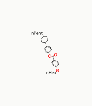 CCCCCCOc1ccc(C(=O)Oc2ccc(C3CCC(CCCCC)CC3)cc2)cc1